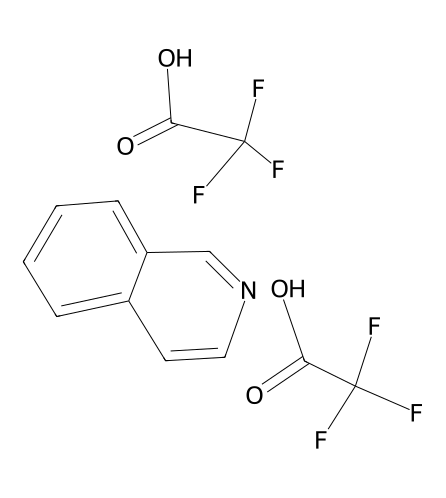 O=C(O)C(F)(F)F.O=C(O)C(F)(F)F.c1ccc2cnccc2c1